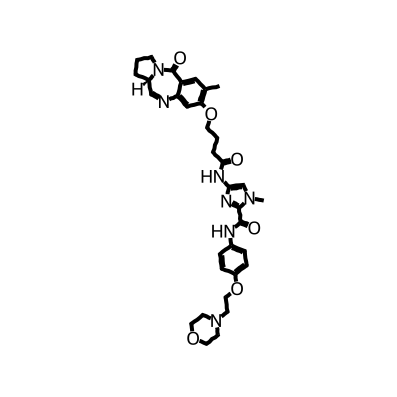 Cc1cc2c(cc1OCCCC(=O)Nc1cn(C)c(C(=O)Nc3ccc(OCCN4CCOCC4)cc3)n1)N=C[C@@H]1CCCN1C2=O